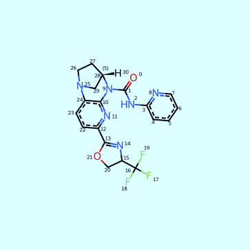 O=C(Nc1ccccn1)N1c2nc(C3=NC(C(F)(F)F)CO3)ccc2N2CC[C@H]1C2